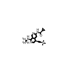 [2H]C([2H])([2H])Nc1ncc(C#C[Si](C)(C)C)c2cc(NC(=O)C3CC3)ncc12